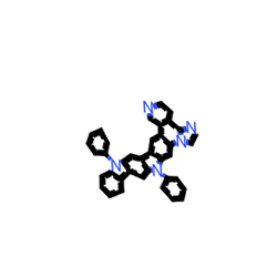 c1ccc(-n2c3ccccc3c3cc4c(cc32)c2cc3c5cnccc5c5nccn5c3cc2n4-c2ccccc2)cc1